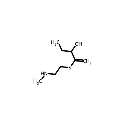 C=C(SCCNC)C(O)CC